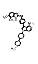 Cc1ccc2nc(Nc3ccc(-c4cn(C5CCC(N6CCN(C)CC6)CC5)c5ncnc(N)c45)cc3)[nH]c2c1C